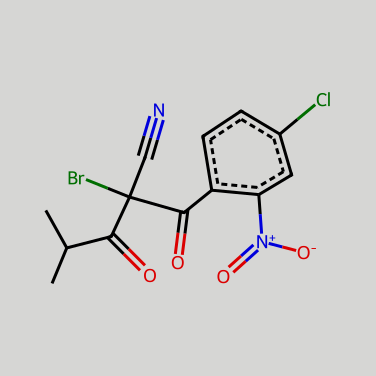 CC(C)C(=O)C(Br)(C#N)C(=O)c1ccc(Cl)cc1[N+](=O)[O-]